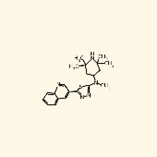 CN(c1nnc(-c2cnc3ccccc3c2)s1)C1CC(C)(C)NC(C)(C)C1